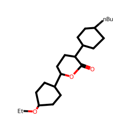 CCCCC1CCC(C2CCC(C3CCC(OCC)CC3)OC2=O)CC1